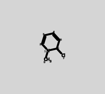 CN1C=CC=CC1Cl